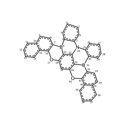 c1ccc2c(c1)B1c3ccc4ccccc4c3Oc3cc4c5c(c31)N2c1ccccc1B5c1ccc2ccccc2c1O4